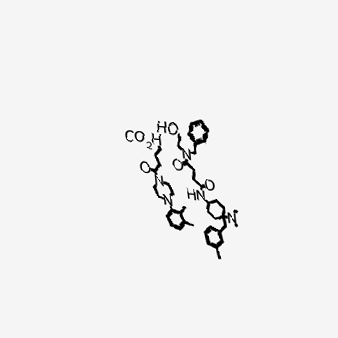 Cc1cccc(CC2(N(C)C)CCC(NC(=O)CCC(=O)N(CCO)Cc3ccccc3)CC2)c1.Cc1cccc(N2CCN(C(=O)CCCC(=O)O)CC2)c1C